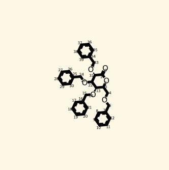 O=C1OC(COCc2ccccc2)[C@@H](OCc2ccccc2)C(OCc2ccccc2)[C@@H]1OCc1ccccc1